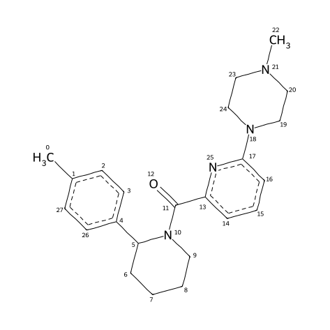 Cc1ccc(C2CCCCN2C(=O)c2cccc(N3CCN(C)CC3)n2)cc1